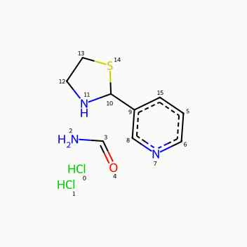 Cl.Cl.NC=O.c1cncc(C2NCCS2)c1